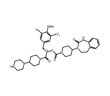 CNc1c(Cl)cc(C[C@@H](OC(=O)N2CCC(N3CCc4ccccc4NC3=O)CC2)C(=O)N2CCC(N3CCNCC3)CC2)cc1C(F)(F)F